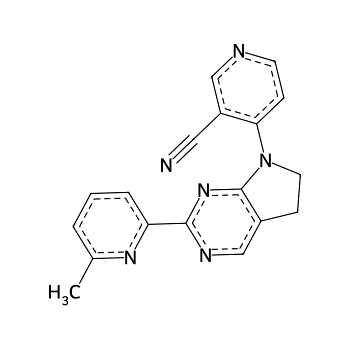 Cc1cccc(-c2ncc3c(n2)N(c2ccncc2C#N)CC3)n1